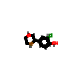 Oc1ccc(C2COCCS2)cc1Cl